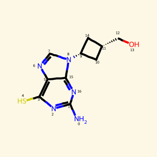 Nc1nc(S)c2ncn([C@H]3C[C@@H](CO)C3)c2n1